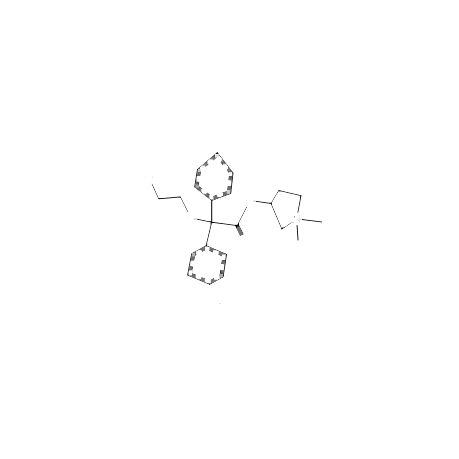 C[N+]1(C)CCC(OC(=O)C(OCCO)(c2ccccc2)c2ccccc2)C1.[Br-]